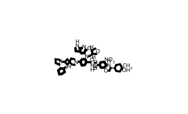 CC(C)c1ccccc1[C@@H]1CCCN1C1CC2(CCN(c3ccc(C(=O)NS(=O)(=O)c4cc5c(c([N+](=O)[O-])c4)N[C@@H](C4CCC(C)(O)CC4)CO5)c(N4C[C@H]5COC[C@H]5Oc5nc6[nH]ccc6cc54)c3)CC2)C1